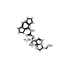 CC12OC[C@H](CO)N1N=CC2[S@@](N)(=O)=NC(=O)Nc1c2c(cc3c1CCC3)CCC2